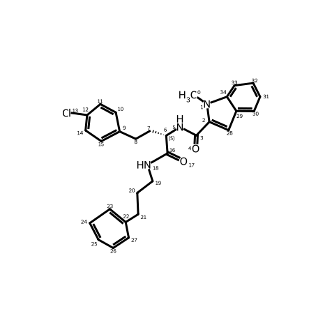 Cn1c(C(=O)N[C@@H](CCc2ccc(Cl)cc2)C(=O)NCCCc2ccccc2)cc2ccccc21